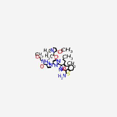 CCCc1c(-c2nc(O[C@@H](C)[C@@H]3[C@@H](OC)CCN3C)cc(-n3ccc(C(=O)NCCOC)n3)n2)noc1[C@@]1(C)CCCc2sc(N)c(C#N)c21